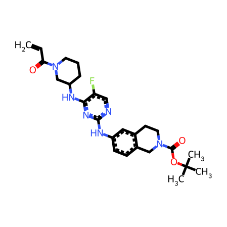 C=CC(=O)N1CCCC(Nc2nc(Nc3ccc4c(c3)CCN(C(=O)OC(C)(C)C)C4)ncc2F)C1